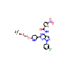 CCOCCOc1ccc(-c2nc(NC(=O)c3ccc([N+](=O)[O-])s3)c3cnn(-c4cccc(F)c4)c3n2)cn1